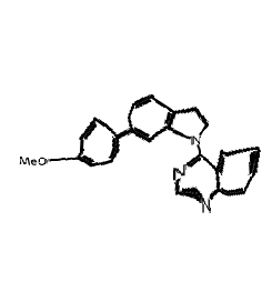 COc1ccc(-c2ccc3c(c2)N(c2ncnc4ccccc24)CC3)cc1